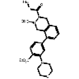 CCOC(=O)c1ccc(-c2cccc3c2CN(C=O)N(C(=O)OC(C)(C)C)C3)cc1N1CCOCC1